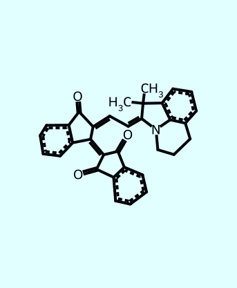 CC1(C)C(=CC=C2C(=O)c3ccccc3C2=C2C(=O)c3ccccc3C2=O)N2CCCc3cccc1c32